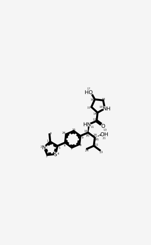 Cc1ncsc1-c1ccc([C@@H](NC(=O)C2CC(O)CN2)[C@H](O)C(C)C)cc1